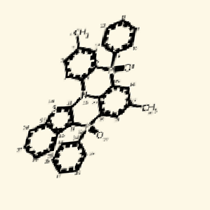 Cc1ccc2c(c1)P(=O)(c1ccccc1)c1cc(C)cc3c1N2c1sc2ccccc2c1P3(=O)c1ccccc1